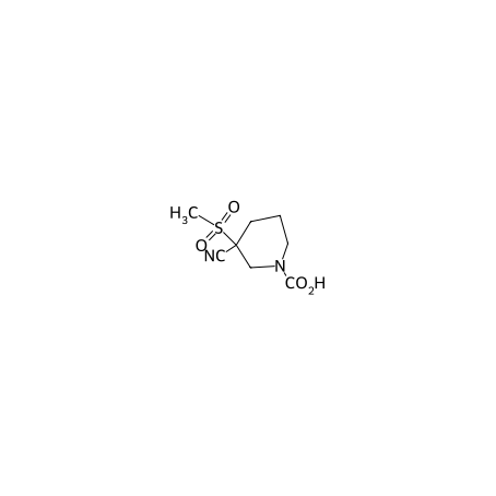 CS(=O)(=O)C1(C#N)CCCN(C(=O)O)C1